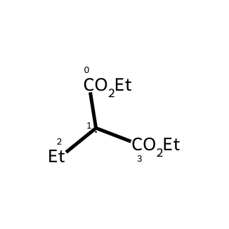 CCOC(=O)[C](CC)C(=O)OCC